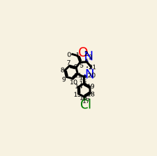 Cc1onc2c1-c1ccccc1C(c1ccc(Cl)cc1)=N[CH]2